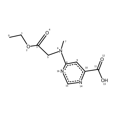 CCOC(=O)CN(C)c1cc(C(=O)O)ncn1